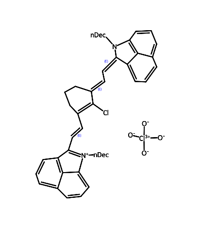 CCCCCCCCCCn1/c(=C/C=C2\CCCC(/C=C/C3=[N+](CCCCCCCCCC)c4cccc5cccc3c45)=C2Cl)c2cccc3cccc1c32.[O-][Cl+3]([O-])([O-])[O-]